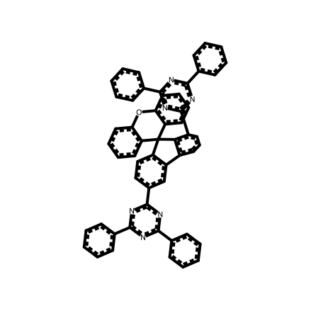 c1ccc(-c2nc(-c3ccccc3)nc(-c3ccc4c(c3)-c3cccc(-c5nc(-c6ccccc6)nc(-c6ccccc6)n5)c3C43c4ccccc4Oc4ccccc43)n2)cc1